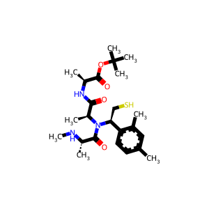 CN[C@@H](C)C(=O)N([C@@H](C)C(=O)N[C@@H](C)C(=O)OC(C)(C)C)[C@@H](CS)c1ccc(C)cc1C